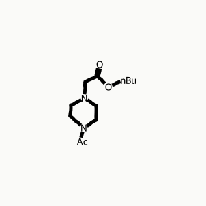 CCCCOC(=O)CN1CCN(C(C)=O)CC1